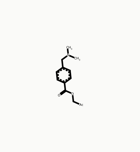 CC(=O)COC(=O)c1ccc(CN(C)C)cc1